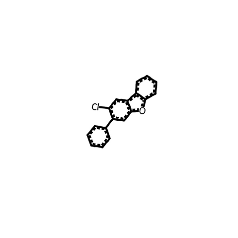 Clc1cc2c(cc1-c1ccccc1)oc1ccccc12